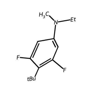 CCN(C)c1cc(F)c(C(C)(C)C)c(F)c1